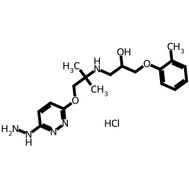 Cc1ccccc1OCC(O)CNC(C)(C)COc1ccc(NN)nn1.Cl